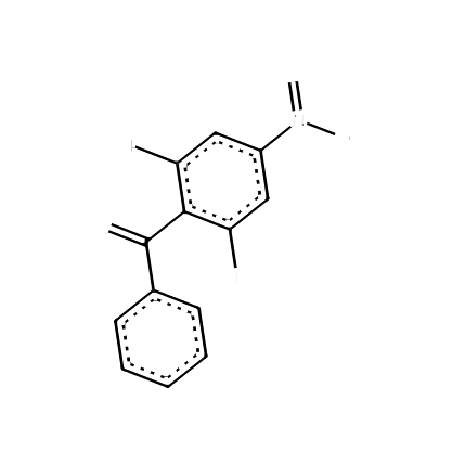 O=C(c1ccccc1)c1c(I)cc([N+](=O)[O-])cc1I